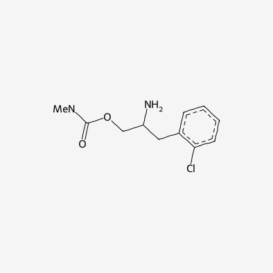 CNC(=O)OCC(N)Cc1ccccc1Cl